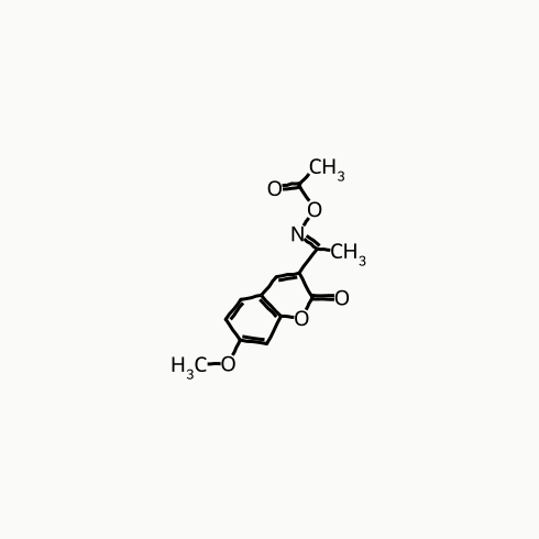 COc1ccc2cc(C(C)=NOC(C)=O)c(=O)oc2c1